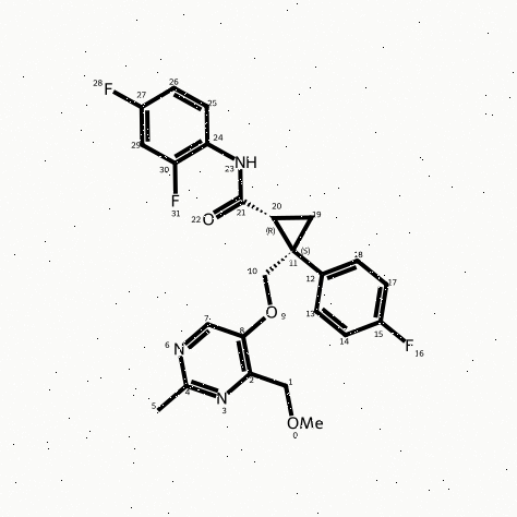 COCc1nc(C)ncc1OC[C@@]1(c2ccc(F)cc2)C[C@H]1C(=O)Nc1ccc(F)cc1F